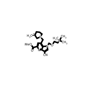 COC(=O)c1cc(CN2CCC[C@H](C)C2)c2c(n1)c(C#N)cn2COCC[Si](C)(C)C